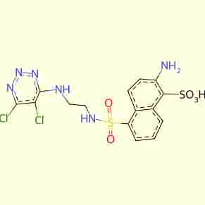 Nc1ccc2c(S(=O)(=O)NCCNc3nnnc(Cl)c3Cl)cccc2c1S(=O)(=O)O